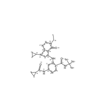 [2H]C([2H])([2H])NC(=O)c1cnc(NC(=O)C2CC2)cc1Nc1cn(C2CC2)c2ncn(CC)c(=O)c12